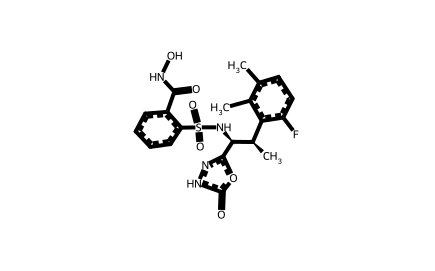 Cc1ccc(F)c([C@@H](C)[C@H](NS(=O)(=O)c2ccccc2C(=O)NO)c2n[nH]c(=O)o2)c1C